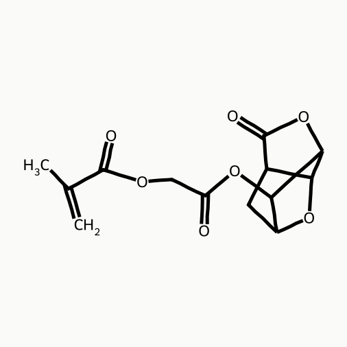 C=C(C)C(=O)OCC(=O)OC1C2CC3C(=O)OC1C3O2